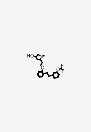 CN1CC(O)CC1CCOc1ccccc1CCc1cccc(OC(F)F)c1